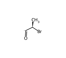 C[C@@H](Br)[C]=O